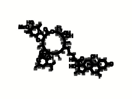 CC[C@H]1OC(=O)[C@H](C)[C@@H](O[C@@H]2C[C@](C)(OC)[C@H](O)C(C)O2)[C@H](C)C(O[C@@H]2O[C@H](C)C[C@@H](N(C)C)[C@H]2O)[C@](C)(O)C[C@@H](C)CN(CCCNC(=O)[C@@]2(O)[C@H](C)CC3C4C[C@H](F)C5=CC(=O)C=C[C@]5(C)[C@@]4(F)[C@@H](O)C[C@@]32C)[C@H](C)[C@@H](O)[C@]1(C)O